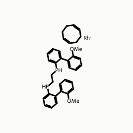 C1=C\CC/C=C\CC/1.COc1ccccc1-c1ccccc1PCCPc1ccccc1-c1ccccc1OC.[Rh]